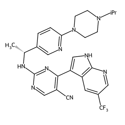 CC(C)N1CCN(c2ccc([C@@H](C)Nc3ncc(C#N)c(-c4c[nH]c5ncc(C(F)(F)F)cc45)n3)cn2)CC1